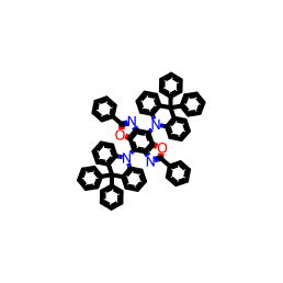 c1ccc(-c2nc3c(N4c5ccccc5C(c5ccccc5)(c5ccccc5)c5ccccc54)c4oc(-c5ccccc5)nc4c(N4c5ccccc5C(c5ccccc5)(c5ccccc5)c5ccccc54)c3o2)cc1